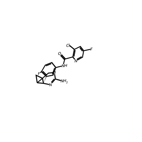 NC1=N[C@@]2(c3cc(NC(=O)c4ncc(F)cc4Cl)ccc3F)C3CC32CO1